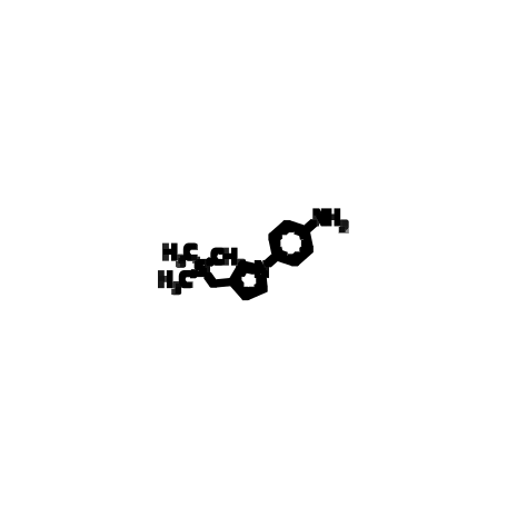 C[Si](C)(C)Cc1ccn(-c2ccc(N)cc2)c1